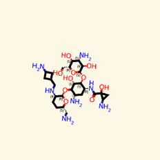 NC[C@@H]1CC[C@@H](NCC2CC(N)C2)[C@@H](OC2[C@@H](N)C[C@@H](NC(=O)C3(O)CC3N)[C@H](O[C@H]3O[C@H](CO)[C@@H](O)[C@H](N)[C@H]3O)[C@H]2O)O1